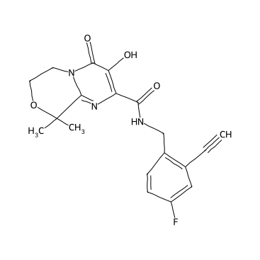 C#Cc1cc(F)ccc1CNC(=O)c1nc2n(c(=O)c1O)CCOC2(C)C